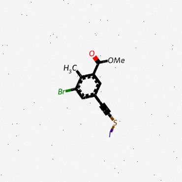 COC(=O)c1cc(C#CSI)cc(Br)c1C